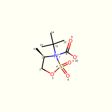 C[C@@H]1COS(=O)(=O)[N+]1(C(=O)[O-])C(C)(C)C